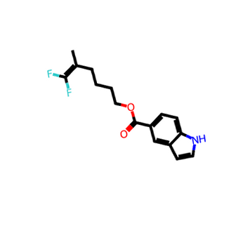 CC(CCCCOC(=O)c1ccc2[nH]ccc2c1)=C(F)F